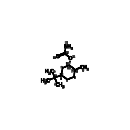 C[C@H]1CCN(C(C)(C)C)C[C@@H]1OC(N)=O